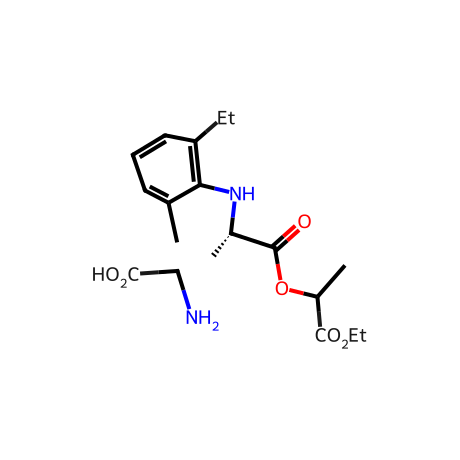 CCOC(=O)C(C)OC(=O)[C@H](C)Nc1c(C)cccc1CC.NCC(=O)O